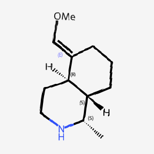 CO/C=C1\CCC[C@@H]2[C@H](C)NCC[C@@H]12